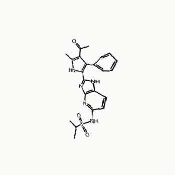 CC(=O)c1c(C)[nH]c(-c2nc3nc(NS(=O)(=O)C(C)C)ccc3[nH]2)c1-c1ccccc1